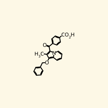 Cc1c(OCc2ccccc2)c2ccccn2c1C(=O)c1ccc(C(=O)O)cc1